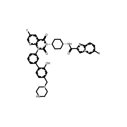 O=C(N[C@H]1CC[C@@H](n2c(=O)c3cc(F)cnc3n(-c3cccc(-c4ccc(CN5CCNCC5)cc4O)c3)c2=O)CC1)c1cn2cc(F)ccc2n1